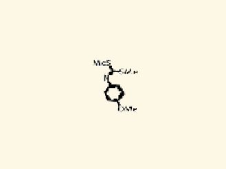 COc1ccc(N=C(SC)SC)cc1